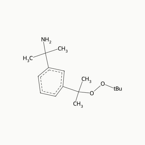 CC(C)(C)OOC(C)(C)c1cccc(C(C)(C)N)c1